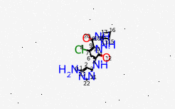 Nc1cc(Nc2cc(Cl)c3n(c2=O)NC2(CCC2)NC3=O)ncn1